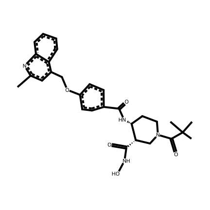 Cc1cc(COc2ccc(C(=O)N[C@@H]3CCN(C(=O)C(C)(C)C)C[C@@H]3C(=O)NO)cc2)c2ccccc2n1